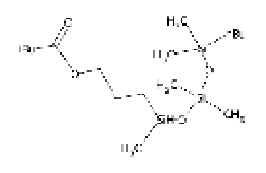 CCCC[Si](C)(C)O[Si](C)(C)O[SiH](C)CCCOC(=O)C(C)CC